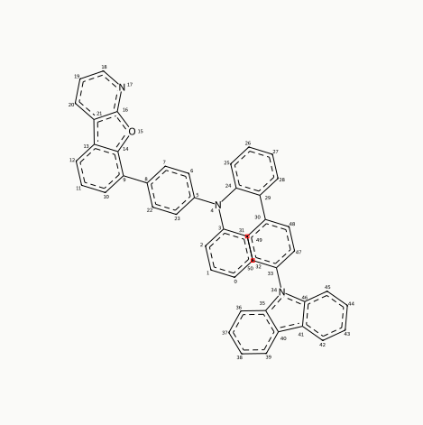 c1ccc(N(c2ccc(-c3cccc4c3oc3ncccc34)cc2)c2ccccc2-c2ccc(-n3c4ccccc4c4ccccc43)cc2)cc1